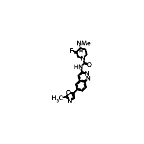 CN[C@@H]1CCN(C(=O)Nc2cc3cc(-c4cnc(C)o4)ccc3nn2)C[C@H]1F